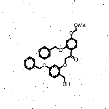 COCOc1ccc(C(=O)COc2cc(OCc3ccccc3)ccc2CO)c(OCc2ccccc2)c1